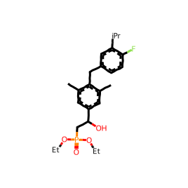 CCOP(=O)(CC(O)c1cc(C)c(Cc2ccc(F)c(C(C)C)c2)c(C)c1)OCC